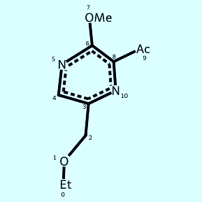 CCOCc1cnc(OC)c(C(C)=O)n1